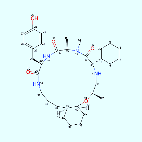 C[C@@H]1CN[C@@H](C2CCCCC2)C(=O)N(C)[C@H](C)C(=O)N[C@H](Cc2ccc(O)cc2)C(=O)NCCC[C@@H]2CCCC[C@@H]2O1